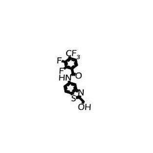 O=C(Nc1ccc2sc(CO)nc2c1)c1ccc(C(F)(F)F)c(F)c1F